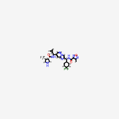 Cc1nonc1C(=O)N[C@H](c1cn2ncc(C(NC(=O)[C@@H]3CNC[C@H]3C(F)(F)F)C3CC3)cc2n1)C1CCC(F)(F)CC1